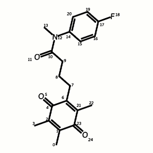 CC1=C(C)C(=O)C(CCCC(=O)N(C)c2ccc(F)cc2)=C(C)C1=O